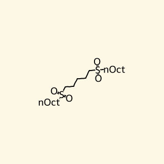 CCCCCCCCS(=O)(=O)CCCCCS(=O)(=O)CCCCCCCC